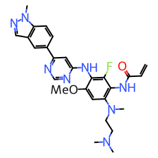 C=CC(=O)Nc1c(N(C)CCN(C)C)cc(OC)c(Nc2cc(-c3ccc4c(cnn4C)c3)ncn2)c1F